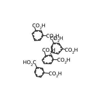 O=C(O)c1cccc(C(=O)O)c1.O=C(O)c1cccc(C(=O)O)c1.O=C(O)c1cccc(C(=O)O)c1.O=C(O)c1cccc(C(=O)O)c1